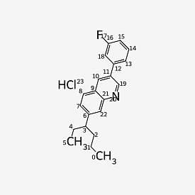 CCCC(CC)c1ccc2cc(-c3cccc(F)c3)cnc2c1.Cl